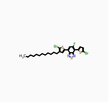 CCCCCCCCCCCCc1cc(-c2cc(F)c(-c3ccc(Br)s3)c3nsnc23)sc1Br